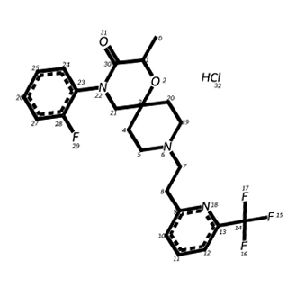 CC1OC2(CCN(CCc3cccc(C(F)(F)F)n3)CC2)CN(c2ccccc2F)C1=O.Cl